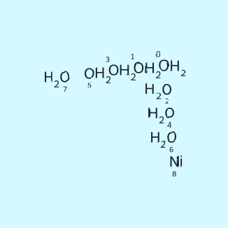 O.O.O.O.O.O.O.O.[Ni]